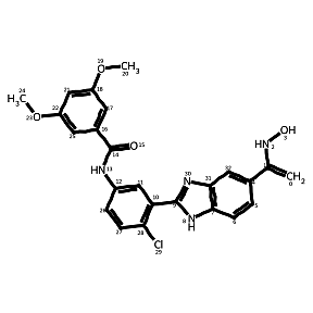 C=C(NO)c1ccc2[nH]c(-c3cc(NC(=O)c4cc(OC)cc(OC)c4)ccc3Cl)nc2c1